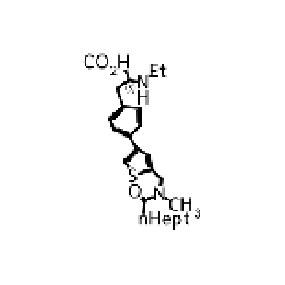 CCCCCCCC(=O)N(C)Cc1cc(-c2ccc(C[C@H](NCC)C(=O)O)cc2)cs1